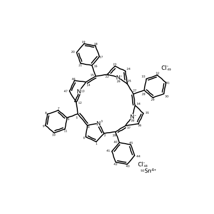 C1=Cc2nc1c(-c1ccccc1)c1nc(c(-c3ccccc3)c3ccc([n-]3)c(-c3ccccc3)c3ccc([n-]3)c2-c2ccccc2)C=C1.[Cl-].[Cl-].[Sn+4]